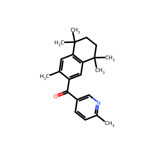 Cc1ccc(C(=O)c2cc3c(cc2C)C(C)(C)CCC3(C)C)cn1